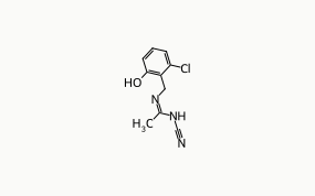 CC(=NCc1c(O)cccc1Cl)NC#N